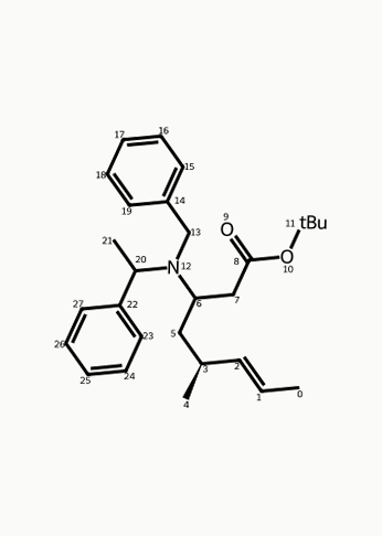 C/C=C/[C@@H](C)CC(CC(=O)OC(C)(C)C)N(Cc1ccccc1)C(C)c1ccccc1